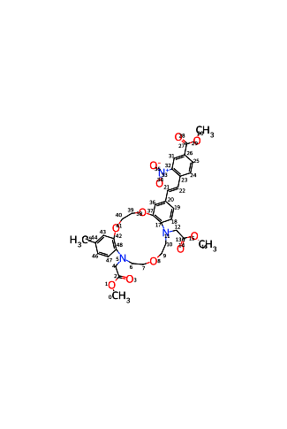 COC(=O)CN1CCOCCN(CC(=O)OC)c2ccc(/C=C/c3ccc(C(=O)OC)cc3[N+](=O)[O-])cc2OCCOc2cc(C)ccc21